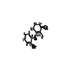 CC1=C(Sc2ccccc2Br)CCCC1=O